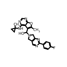 Cc1oc2ncnc(NC3(C)CC3)c2c1C(O)N1Cc2cnc(-c3ccc(F)cc3)nc2C1